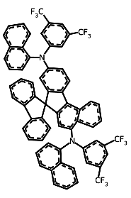 FC(F)(F)c1cc(N(c2ccc3c(c2)C2(c4ccccc4-c4ccccc42)c2cc(N(c4cc(C(F)(F)F)cc(C(F)(F)F)c4)c4cccc5ccccc45)c4ccccc4c2-3)c2cccc3ccccc23)cc(C(F)(F)F)c1